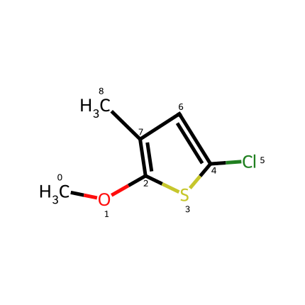 COc1sc(Cl)cc1C